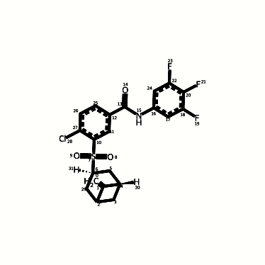 C=C1C2C[C@H]1C[C@H](S(=O)(=O)c1cc(C(=O)Nc3cc(F)c(F)c(F)c3)ccc1Cl)C2